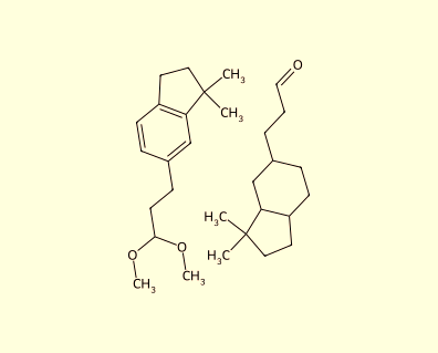 CC1(C)CCC2CCC(CCC=O)CC21.COC(CCc1ccc2c(c1)C(C)(C)CC2)OC